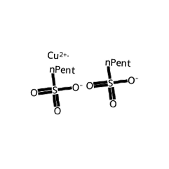 CCCCCS(=O)(=O)[O-].CCCCCS(=O)(=O)[O-].[Cu+2]